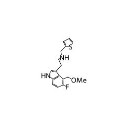 COCc1c(F)ccc2[nH]cc(CCNCc3cccs3)c12